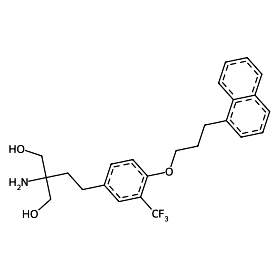 NC(CO)(CO)CCc1ccc(OCCCc2cccc3ccccc23)c(C(F)(F)F)c1